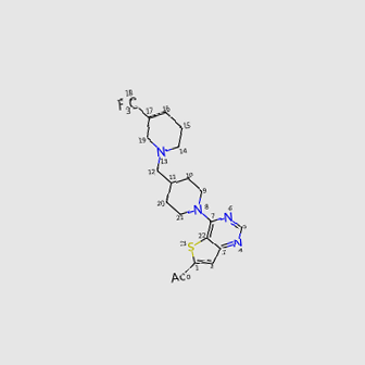 CC(=O)c1cc2ncnc(N3CCC(CN4CCCC(C(F)(F)F)C4)CC3)c2s1